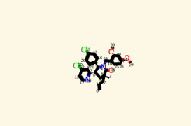 C=CC[C@]1(C)C[C@H](c2cc(Cl)ccn2)[C@@H](c2ccc(Cl)cc2)N(Cc2ccc(OC)cc2OC)C1=O